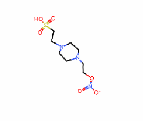 O=[N+]([O-])OCCN1CCN(CCS(=O)(=O)O)CC1